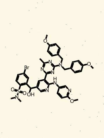 COc1ccc(CN(Cc2ccc(OC)cc2)c2nc(C)nc(-c3cc(C(O)c4cc(Br)ccc4S(=O)(=O)N(C)C)cnc3Nc3ccc(OC)nc3)n2)cc1